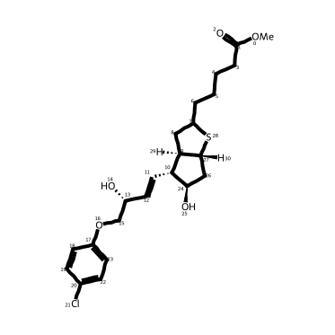 COC(=O)CCCCC1C[C@@H]2[C@@H](/C=C/[C@@H](O)COc3ccc(Cl)cc3)[C@H](O)C[C@H]2S1